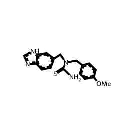 COc1ccc(CN(Cc2ccc3nc[nH]c3c2)C(N)=S)cc1